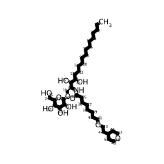 CCCCCCCCCCCCCC[C@@H](O)[C@@H](O)[C@H](COC1OC(CO)C(O)C(O)C1O)NC(=O)CCCCCCCOCCC1CCOCC1